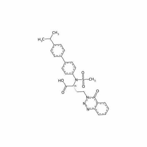 CC(C)c1ccc(-c2ccc(N([C@H](CCn3nnc4ccccc4c3=O)C(=O)O)S(C)(=O)=O)cc2)cc1